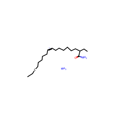 CCCCCCCC/C=C\CCCCCCC(CC)C(N)=O.N